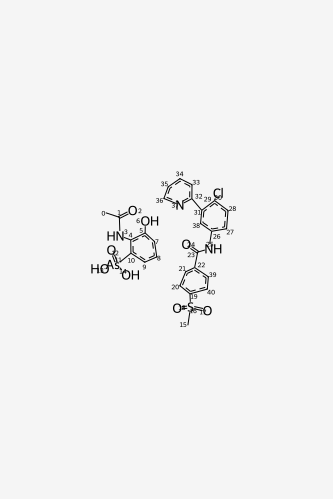 CC(=O)Nc1c(O)cccc1[As](=O)(O)O.CS(=O)(=O)c1ccc(C(=O)Nc2ccc(Cl)c(-c3ccccn3)c2)cc1